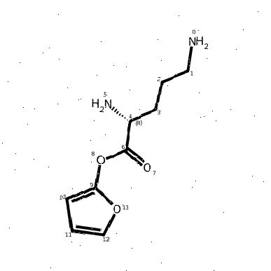 NCCC[C@@H](N)C(=O)Oc1ccco1